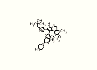 CC(C)n1c(=O)n(C)c2cnc3[nH]c(-c4cnn(CC(C)(C)O)c4)c(-c4cc5cnc(N6CCNCC6)cc5s4)c3c21